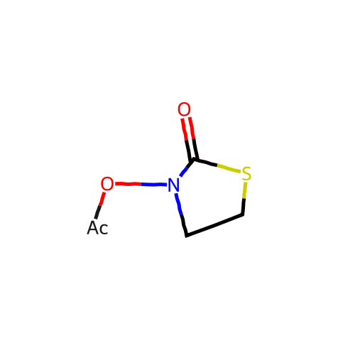 CC(=O)ON1CCSC1=O